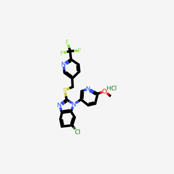 COc1ccc(-n2c(SCc3ccc(C(F)(F)F)nc3)nc3ccc(Cl)cc32)cn1.Cl